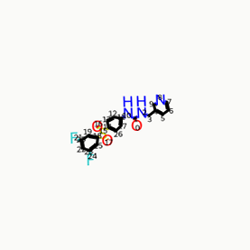 O=C(NCc1cccnc1)Nc1ccc(S(=O)(=O)c2cc(F)cc(F)c2)cc1